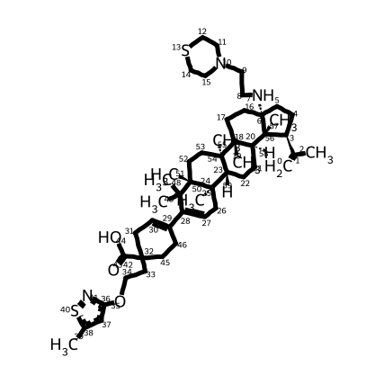 C=C(C)[C@@H]1CC[C@]2(NCCN3CCSCC3)CC[C@]3(C)[C@H](CC[C@@H]4[C@@]5(C)CC=C(C6=CCC(CCOc7cc(C)sn7)(C(=O)O)CC6)C(C)(C)[C@]5(C)CC[C@]43C)[C@@]12C